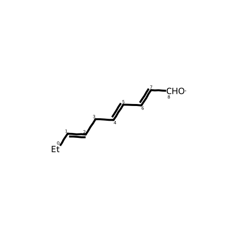 CCC=CCC=CC=C[C]=O